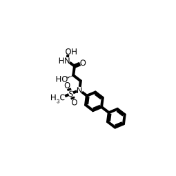 CS(=O)(=O)N(C[C@H](O)C(=O)NO)c1ccc(-c2ccccc2)cc1